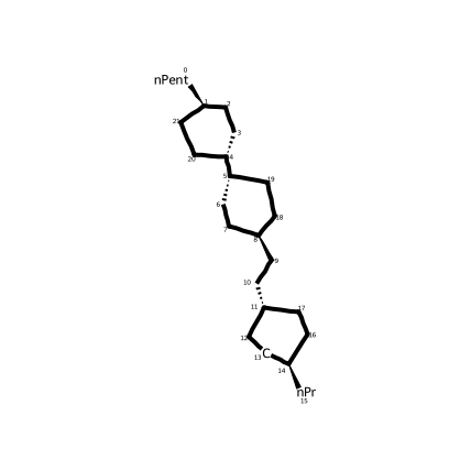 CCCCC[C@H]1CC[C@H]([C@H]2CC[C@H](CC[C@H]3CC[C@H](CCC)CC3)CC2)CC1